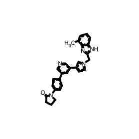 Cc1cccc2[nH]c(Cn3ccc(-c4cncc(-c5ccc(N6CCCC6=O)cc5)c4)c3)nc12